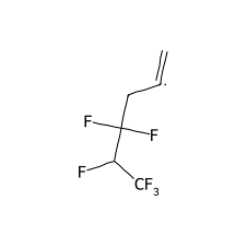 C=[C]CC(F)(F)C(F)C(F)(F)F